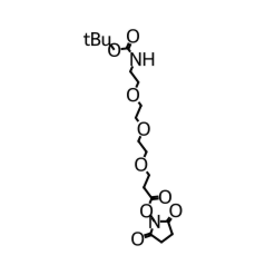 CC(C)(C)OC(=O)NCCOCCOCCOCCC(=O)ON1C(=O)CCC1=O